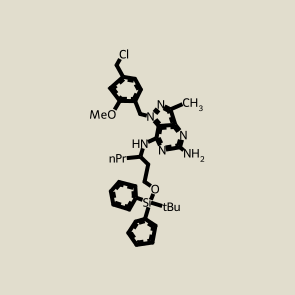 CCCC(CCO[Si](c1ccccc1)(c1ccccc1)C(C)(C)C)Nc1nc(N)nc2c(C)nn(Cc3ccc(CCl)cc3OC)c12